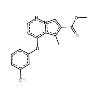 COC(=O)c1cn2ncnc(Oc3cccc(O)c3)c2c1C